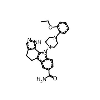 CCOc1ccccc1N1CCN(n2c3c(c4cc(C(N)=O)ccc42)CCc2cn[nH]c2-3)CC1